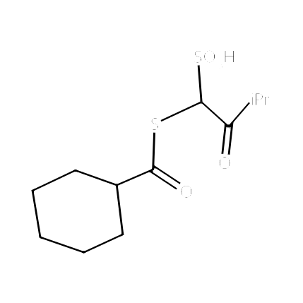 CC(C)C(=O)C(SC(=O)C1CCCCC1)S(=O)(=O)O